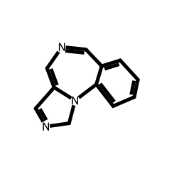 C1=NC=C2C=NCN2c2ccccc21